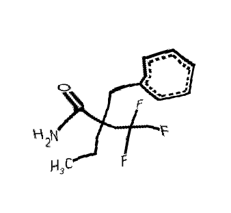 CCC(Cc1ccccc1)(C(N)=O)C(F)(F)F